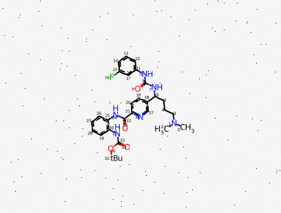 CN(C)CCCC(NC(=O)Nc1cccc(F)c1)c1ccc(C(=O)Nc2ccccc2NC(=O)OC(C)(C)C)nc1